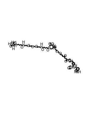 CO[C@H]1CN(C(=O)CCCC(=O)NCCCOCCOCCOCCCNC(=O)CCCC[C@@H]2SC[C@@H]3NC(=O)N[C@@H]32)CCc2c(nnn2CCOCCOC/C=C/C(=O)CCC(=O)N2CCN(Cc3cc4nc(-c5cccc6[nH]ncc56)nc(N5CCOCC5)c4s3)CC2)[C@@H]1OC